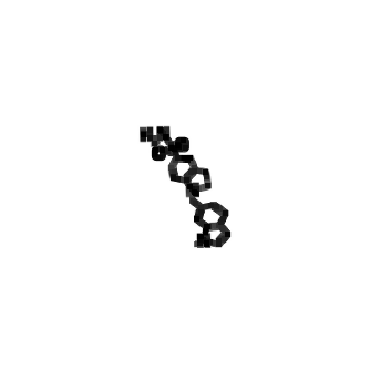 Cn1ccc2ccc(CN3CCc4cc(S(N)(=O)=O)ccc43)cc21